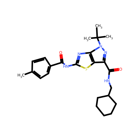 Cc1ccc(C(=O)Nc2nc3c(s2)c(C(=O)NCC2CCCCC2)nn3C(C)(C)C)cc1